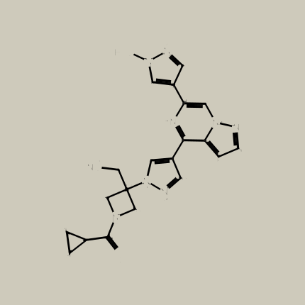 Cn1cc(-c2cn3nccc3c(-c3cnn(C4(CC#N)CN(C(=O)C5CC5)C4)c3)n2)cn1